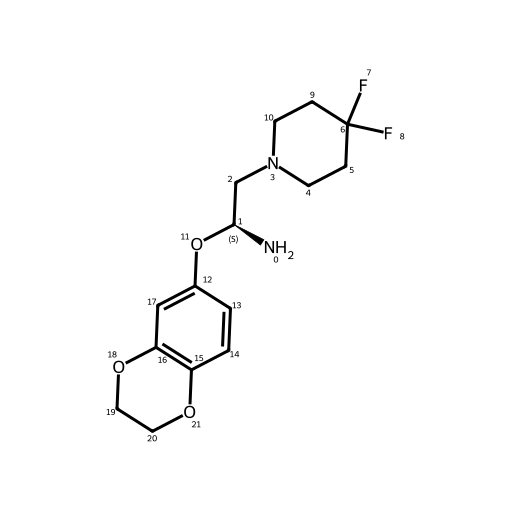 N[C@H](CN1CCC(F)(F)CC1)Oc1ccc2c(c1)OCCO2